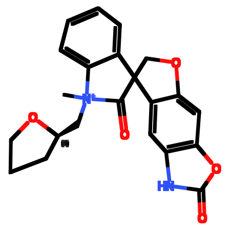 C[N+]1(C[C@H]2CCCO2)C(=O)C2(COc3cc4oc(=O)[nH]c4cc32)c2ccccc21